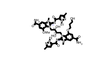 CCn1nc(C)cc1C(=O)/N=c1\n(C)c2cc(C(N)=O)cc(OC)c2n1C[C@H](O)[C@@H](O)Cn1/c(=N/C(=O)c2cc(C)nn2CC)n(C)c2cc(C(N)=O)cc(OCCCO)c21